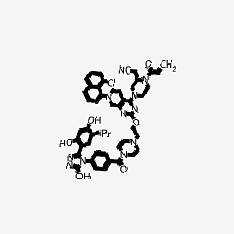 C=CC(=O)N1CCN(c2nc(OCCN3CCN(C(=O)c4ccc(-n5c(O)nnc5-c5cc(C(C)C)c(O)cc5O)cc4)CC3)nc3c2CCN(c2cccc4cccc(Cl)c24)C3)CC1CC#N